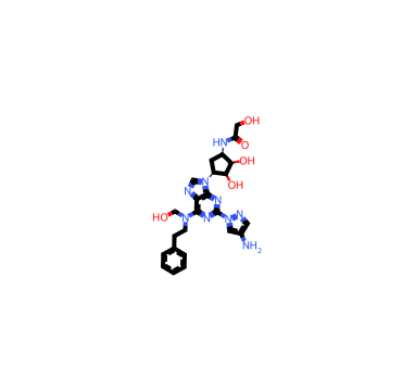 Nc1cnn(-c2nc(N(CO)CCc3ccccc3)c3ncn([C@@H]4C[C@H](NC(=O)CO)[C@@H](O)[C@H]4O)c3n2)c1